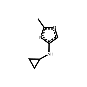 Cc1nc(NC2CC2)co1